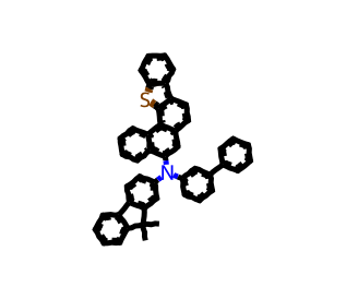 CC1(C)c2ccccc2-c2ccc(N(c3cccc(-c4ccccc4)c3)c3cc4ccc5c6ccccc6sc5c4c4ccccc34)cc21